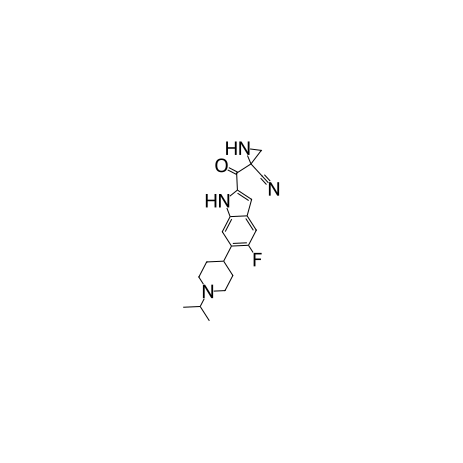 CC(C)N1CCC(c2cc3[nH]c(C(=O)C4(C#N)CN4)cc3cc2F)CC1